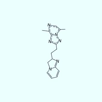 Cc1ncc(C)n2nc(CCC3CN4C=CC=CC4=N3)nc12